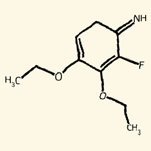 CCOC1=CCC(=N)C(F)=C1OCC